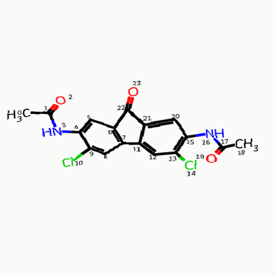 CC(=O)Nc1cc2c(cc1Cl)-c1cc(Cl)c(NC(C)=O)cc1C2=O